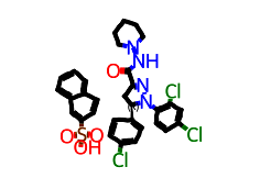 O=C(NN1CCCCC1)C1=NN(c2ccc(Cl)cc2Cl)[C@@H](c2ccc(Cl)cc2)C1.O=S(=O)(O)c1ccc2ccccc2c1